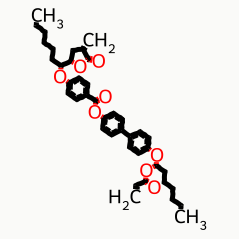 C=CC(=O)OC(CCCCCC)Oc1ccc(-c2ccc(OC(=O)c3ccc(OC(CCCCCC)C4CC(=C)C(=O)O4)cc3)cc2)cc1